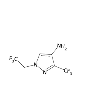 Nc1cn(CC(F)(F)F)nc1C(F)(F)F